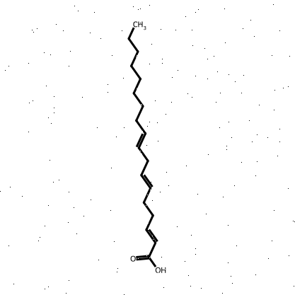 CCCCCCCC/C=C/C/C=C/CC/C=C/C(=O)O